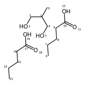 CC(CO)CO.CCCCC(=O)O.CCCCC(=O)O